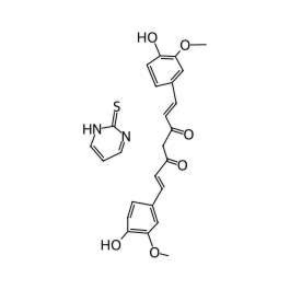 COc1cc(/C=C/C(=O)CC(=O)/C=C/c2ccc(O)c(OC)c2)ccc1O.S=c1nccc[nH]1